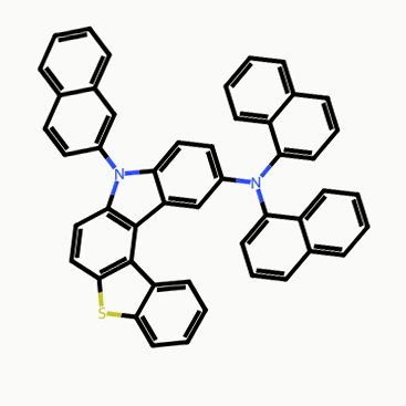 c1ccc2cc(-n3c4ccc(N(c5cccc6ccccc56)c5cccc6ccccc56)cc4c4c5c(ccc43)sc3ccccc35)ccc2c1